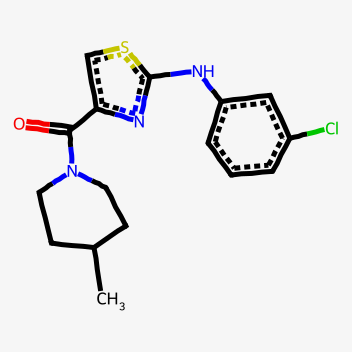 CC1CCN(C(=O)c2csc(Nc3cccc(Cl)c3)n2)CC1